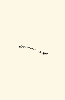 CCCCCCCCCCCCCCCCCCCCOCCCCCC